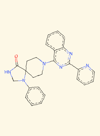 O=C1NCN(c2ccccc2)C12CCN(c1nc(-c3ccccn3)nc3ccccc13)CC2